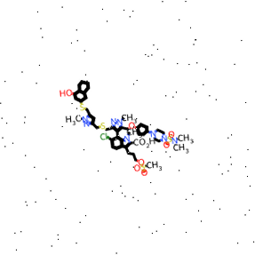 CN(C)S(=O)(=O)N1CCN(c2ccc(OCc3c(-c4c(Cl)ccc5c(CCCOS(C)(=O)=O)c(C(=O)O)n(C)c45)c(CSCc4cc(CSc5cc(O)c6ccccc6c5)n(C)n4)nn3C)cc2)CC1